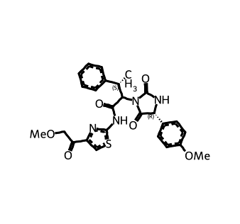 COCC(=O)c1csc(NC(=O)C([C@@H](C)c2ccccc2)N2C(=O)N[C@H](c3ccc(OC)cc3)C2=O)n1